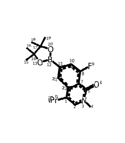 CC(C)c1cn(C)c(=O)c2c(F)cc(B3OC(C)(C)C(C)(C)O3)cc12